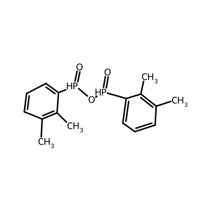 Cc1cccc([PH](=O)O[PH](=O)c2cccc(C)c2C)c1C